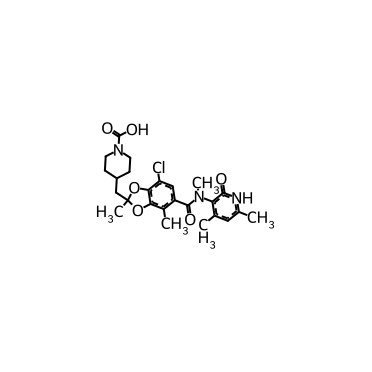 Cc1cc(C)c(N(C)C(=O)c2cc(Cl)c3c(c2C)OC(C)(CC2CCN(C(=O)O)CC2)O3)c(=O)[nH]1